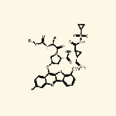 C=C[C@@H]1C[C@]1(NC(=O)[C@@H]1C[C@@H](Oc2c3ccc(F)cc3nc3c2oc2c(OC)cccc23)CN1C(=O)[C@@H](NC(=O)OC(C)(C)C)C(C)C)C(=O)NS(=O)(=O)C1CC1